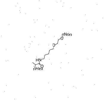 CCCCCCCCCOCCOCCCCCNC(=O)C(C)CCCCCC